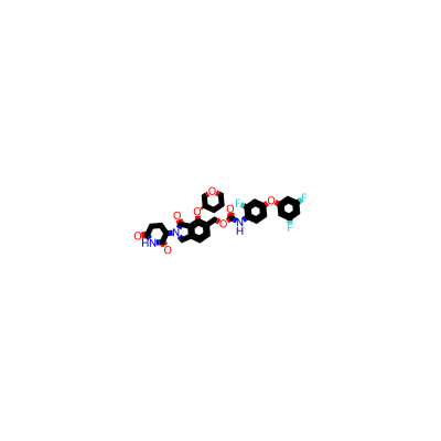 O=C1CCC(N2Cc3ccc(COC(=O)Nc4ccc(Oc5cc(F)cc(F)c5)cc4F)c(O[C@@H]4CCCOC4)c3C2=O)C(=O)N1